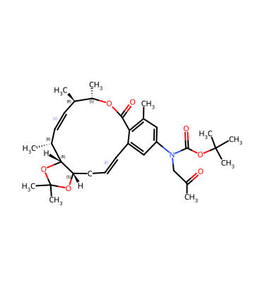 CC(=O)CN(C(=O)OC(C)(C)C)c1cc(C)c2c(c1)/C=C/C[C@@H]1OC(C)(C)O[C@@H]1[C@H](C)/C=C\[C@@H](C)[C@H](C)OC2=O